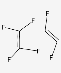 FC(F)=C(F)F.FC=CF